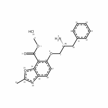 COC(=O)c1c(OC[C@H](N)Cc2ccccc2)ccc2nc(C)oc12.Cl